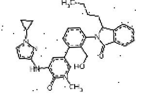 CCCCC1c2ccccc2C(=O)N1c1cccc(-c2cc(Nc3ccn(C4CC4)n3)c(=O)n(C)c2)c1CO